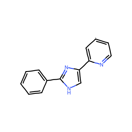 [c]1ccnc(-c2c[nH]c(-c3ccccc3)n2)c1